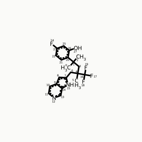 CC(C)(CC(C)(Cc1cc2ccncc2[nH]1)C(F)(F)F)c1ccc(F)cc1O